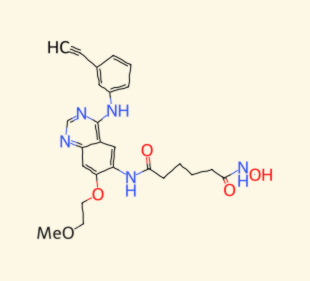 C#Cc1cccc(Nc2ncnc3cc(OCCOC)c(NC(=O)CCCCC(=O)NO)cc23)c1